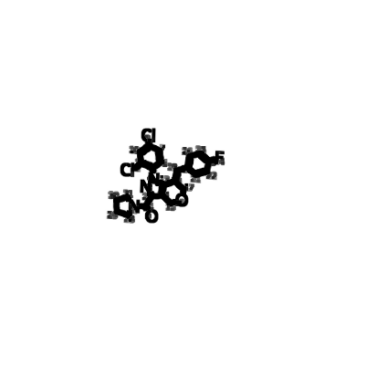 O=C(c1nn(-c2ccc(Cl)cc2Cl)c2c1COC/C2=C\c1ccc(F)cc1)N1CCCC1